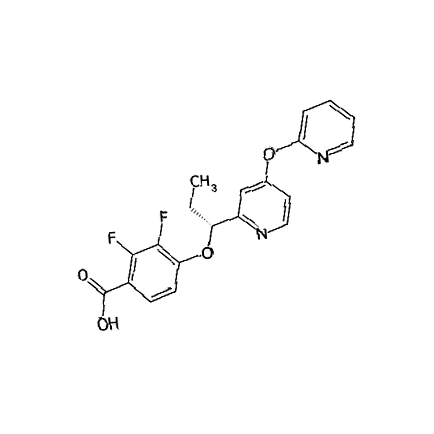 CC[C@@H](Oc1ccc(C(=O)O)c(F)c1F)c1cc(Oc2ccccn2)ccn1